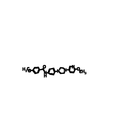 COc1ccc(C(=O)Nc2ccc(N3CCN(c4ccc(OC)nc4)CC3)cc2)cc1